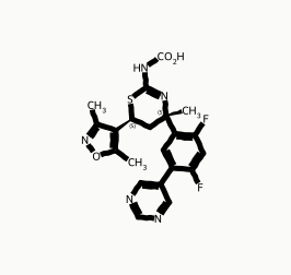 Cc1noc(C)c1[C@@H]1C[C@@](C)(c2cc(-c3cncnc3)c(F)cc2F)N=C(NC(=O)O)S1